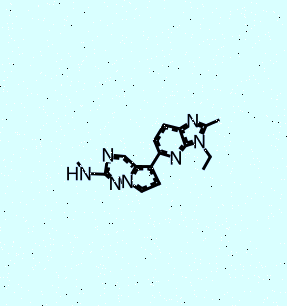 CCn1c(C)nc2ccc(-c3ccn4nc(NC)ncc34)nc21